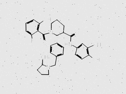 Cc1ccc(NC(=O)C2CCCN(C(=O)c3c(C)cccc3F)[C@H]2c2ccc(CN3CCCC3C)cc2)cc1C